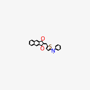 CN(c1ccccc1)c1ccc(C=C2C(=O)c3cc4ccccc4cc3C2=O)s1